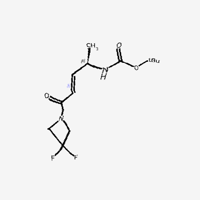 C[C@H](/C=C/C(=O)N1CC(F)(F)C1)NC(=O)OC(C)(C)C